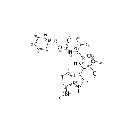 CBc1cccc2c(C(NC(=O)[C@@H](NC(=O)OCc3ccccc3)C(C)C)C(=O)OC)c[nH]c12